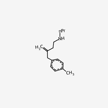 C=C(CCNCCC)Cc1ccc(C)cc1